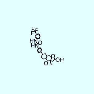 CCC1(CC(=O)O)CCC2CC(c3ccc(NC(=O)Nc4cccc(C(F)(F)F)c4)cc3)CCC2C1=O